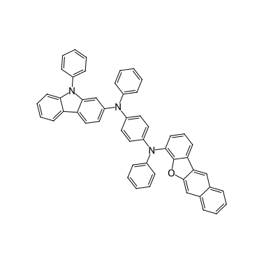 c1ccc(N(c2ccc(N(c3ccccc3)c3cccc4c3oc3cc5ccccc5cc34)cc2)c2ccc3c4ccccc4n(-c4ccccc4)c3c2)cc1